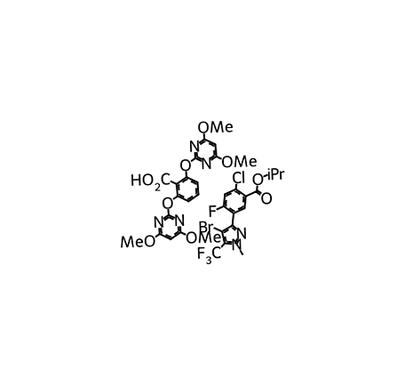 CC(C)OC(=O)c1cc(-c2nn(C)c(C(F)(F)F)c2Br)c(F)cc1Cl.COc1cc(OC)nc(Oc2cccc(Oc3nc(OC)cc(OC)n3)c2C(=O)O)n1